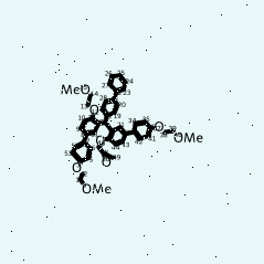 COCCOc1ccc(-c2ccc(OCCOC)c(C(c3ccc(-c4ccccc4)cc3)c3cc(-c4ccc(OCCOC)cc4)ccc3OCC3CO3)c2)cc1